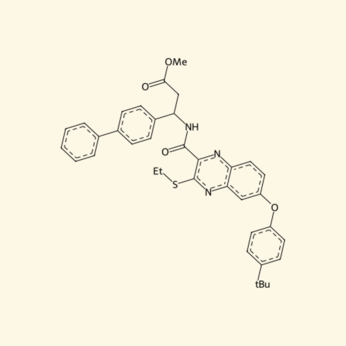 CCSc1nc2cc(Oc3ccc(C(C)(C)C)cc3)ccc2nc1C(=O)NC(CC(=O)OC)c1ccc(-c2ccccc2)cc1